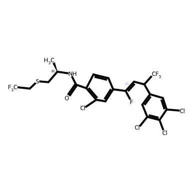 C[C@H](CSCC(F)(F)F)NC(=O)c1ccc(/C(F)=C/C(c2cc(Cl)c(Cl)c(Cl)c2)C(F)(F)F)cc1Cl